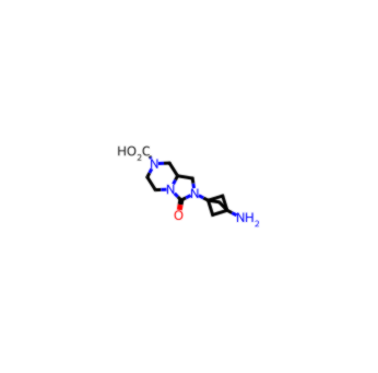 NC12CC(N3CC4CN(C(=O)O)CCN4C3=O)(C1)C2